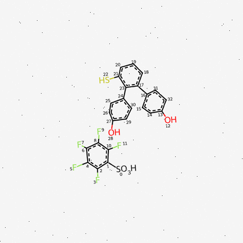 O=S(=O)(O)c1c(F)c(F)c(F)c(F)c1F.Oc1ccc(-c2cccc(S)c2-c2ccc(O)cc2)cc1